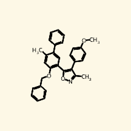 COc1ccc(-c2c(C)noc2-c2cc(-c3ccccc3)c(C)cc2OCc2ccccc2)cc1